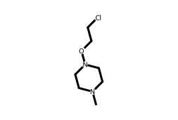 CN1CCN(OCCCl)CC1